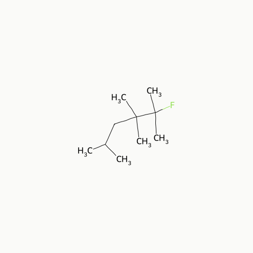 CC(C)CC(C)(C)C(C)(C)F